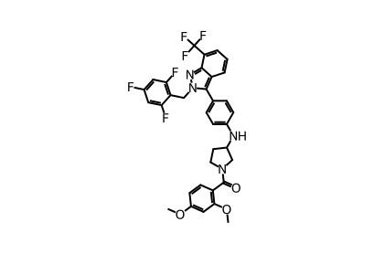 COc1ccc(C(=O)N2CCC(Nc3ccc(-c4c5cccc(C(F)(F)F)c5nn4Cc4c(F)cc(F)cc4F)cc3)C2)c(OC)c1